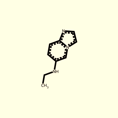 CCNc1ccc2nccn2c1